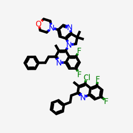 Cc1c(CCc2ccccc2)nc2cc(F)cc(F)c2c1Cl.Cc1c(CCc2ccccc2)nc2cc(F)cc(F)c2c1N1CC(C)(C)c2ncc(N3CCOCC3)cc21